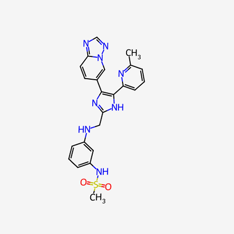 Cc1cccc(-c2[nH]c(CNc3cccc(NS(C)(=O)=O)c3)nc2-c2ccc3ncnn3c2)n1